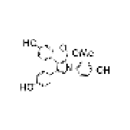 COC(=O)c1c(-c2ccc(O)cc2)c(-c2ccc(O)cc2)cn1-c1ccc(O)cc1